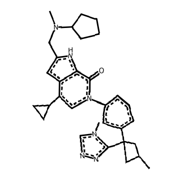 CC1CC(c2cccc(-n3cc(C4CC4)c4cc(CN(C)C5CCCC5)[nH]c4c3=O)c2)(c2nncn2C)C1